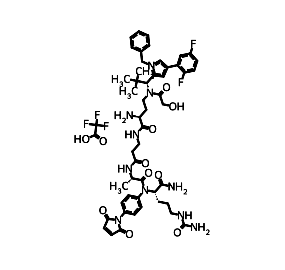 C[C@H](NC(=O)CCNC(=O)[C@@H](N)CCN(C(=O)CO)[C@@H](c1cc(-c2cc(F)ccc2F)cn1Cc1ccccc1)C(C)(C)C)C(=O)N(c1ccc(N2C(=O)C=CC2=O)cc1)[C@@H](CCCNC(N)=O)C(N)=O.O=C(O)C(F)(F)F